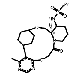 Cc1ncnc2c1C1CCC(CC1)OC[C@H]1C(NS(=O)(=O)C(C)C)CCCN1C(=O)CO2